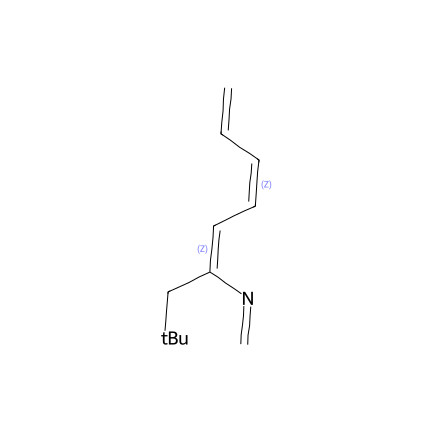 C=C/C=C\C=C(\CC(C)(C)C)N=C